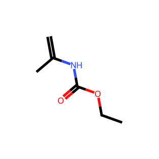 [CH]=C(C)NC(=O)OCC